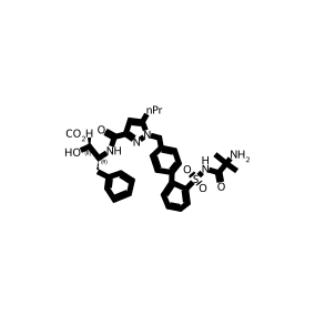 CCCc1cc(C(=O)N[C@H](Cc2ccccc2)[C@@H](O)C(=O)O)nn1Cc1ccc(-c2ccccc2S(=O)(=O)NC(=O)C(C)(C)N)cc1